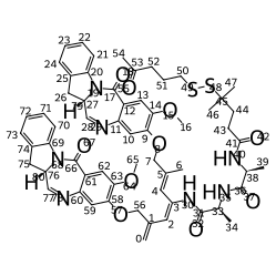 C=C(/C=C(\C=C(/C)COc1cc2c(cc1OC)C(=O)N1c3ccccc3C[C@H]1C=N2)NC(=O)[C@H](C)NC(=O)[C@H](C)NC(=O)CCC(C)(C)SSCCCC(C)=O)COc1cc2c(cc1OC)C(=O)N1c3ccccc3C[C@H]1C=N2